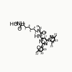 CCN(CCCCCCC(=O)NO)C(=O)Nc1cc(-n2nc(C)cc2C)nc(-c2ccc(C)o2)n1